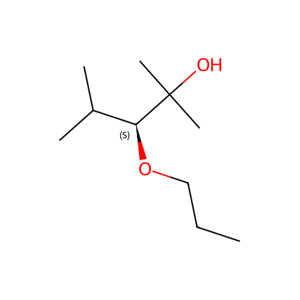 CCCO[C@@H](C(C)C)C(C)(C)O